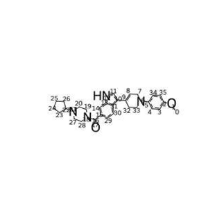 COc1ccc(N2CC=C(c3c[nH]c4cc(C(=O)N5CCN(C6CCCC6)CC5)ccc34)CC2)cc1